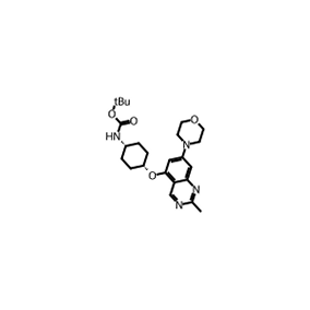 Cc1ncc2c(O[C@H]3CC[C@@H](NC(=O)OC(C)(C)C)CC3)cc(N3CCOCC3)cc2n1